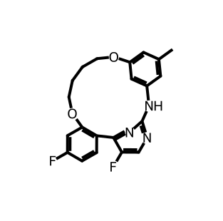 Cc1cc2cc(c1)OCCCCOc1cc(F)ccc1-c1nc(ncc1F)N2